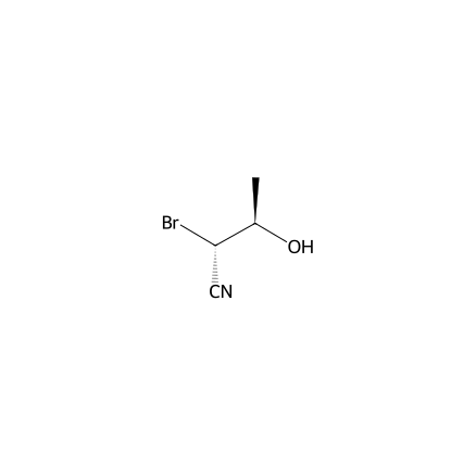 C[C@@H](O)[C@@H](Br)C#N